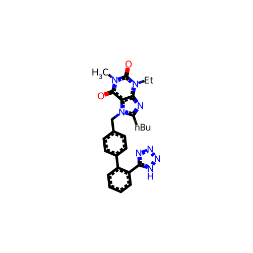 CCCCc1nc2c(c(=O)n(C)c(=O)n2CC)n1Cc1ccc(-c2ccccc2-c2nnn[nH]2)cc1